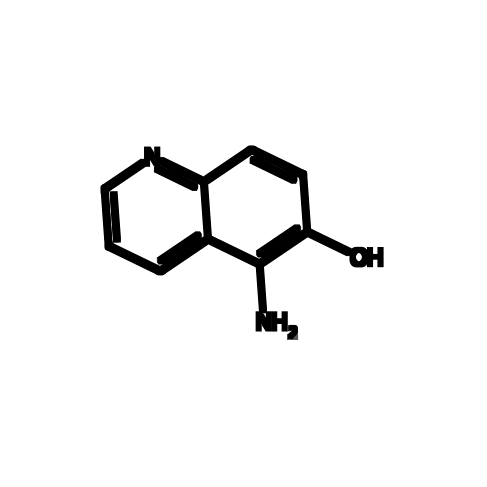 Nc1c(O)ccc2ncccc12